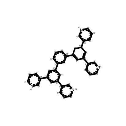 C1=C(c2cccnc2)C=C(c2cccc(-c3cc(-c4cccnc4)cc(-c4cccnc4)c3)c2)CC1c1cccnc1